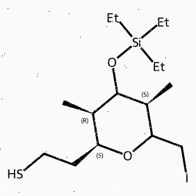 CC[Si](CC)(CC)OC1[C@@H](C)C(CI)O[C@@H](CCS)[C@H]1C